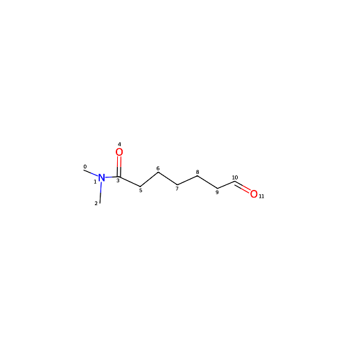 CN(C)C(=O)CCCCCC=O